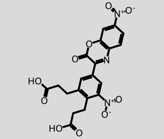 O=C(O)CCc1cc(-c2nc3ccc([N+](=O)[O-])cc3oc2=O)cc([N+](=O)[O-])c1CCC(=O)O